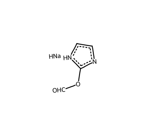 O=COc1ncc[nH]1.[NaH]